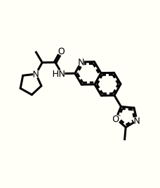 Cc1ncc(-c2ccc3cnc(NC(=O)C(C)N4CCCC4)cc3c2)o1